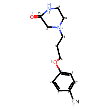 N#Cc1ccc(OCCCN2CCNC(=O)C2)cc1